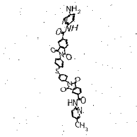 Cc1ccc(NC(=O)c2ccc3c(c2)C(=O)N(c2ccc(Sc4ccc(N5C(=O)c6ccc(C(=O)Nc7ccc(N)cn7)cc6C5=O)cc4)cc2)C3=O)nc1